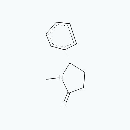 CN1C(=O)CC[C@H]1c1ccccc1